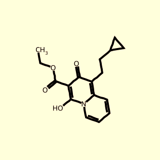 CCOC(=O)c1c(O)n2ccccc2c(CCC2CC2)c1=O